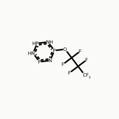 FC(F)(F)C(F)(F)C(F)(F)Op1np[nH][pH][nH]1